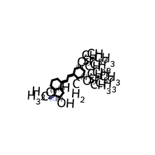 C=C1C(=CC=C2CCC[C@]3(C)/C(=C\C)[C@H](O)C[C@@H]23)C[C@@H](O[Si](C)(C)C(C)(C)C)C[C@@H]1O[Si](C)(C)C(C)(C)C